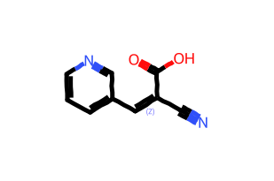 N#C/C(=C/c1cccnc1)C(=O)O